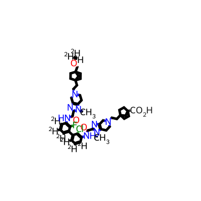 [2H]c1c([2H])c(NC(=O)c2nc3c(n2C)CCN(CCC24CCC(COC([2H])([2H])[2H])(CC2)C4)C3)c(F)c(-c2c([2H])c([2H])c([2H])c(NC(=O)c3nc4c(n3C)CCN(CCC35CCC(C(=O)O)(CC3)C5)C4)c2Cl)c1[2H]